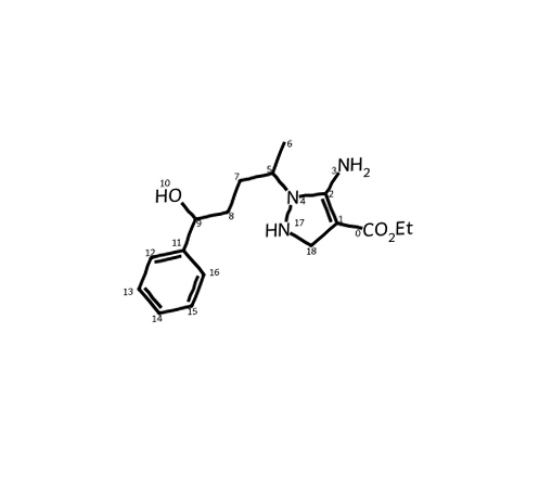 CCOC(=O)C1=C(N)N(C(C)CCC(O)c2ccccc2)NC1